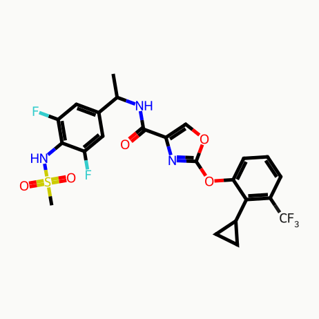 CC(NC(=O)c1coc(Oc2cccc(C(F)(F)F)c2C2CC2)n1)c1cc(F)c(NS(C)(=O)=O)c(F)c1